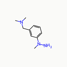 CN(C)Cc1cccc(N(C)N)c1